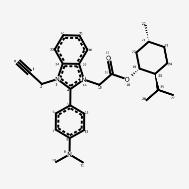 C#CC[n+]1c(-c2ccc(N(C)C)cc2)n(CC(=O)O[C@@H]2C[C@H](C)CC[C@H]2C(C)C)c2ccccc21